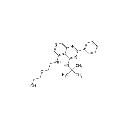 CC(C)(C)Nc1nc(-c2ccncc2)nc2cncc(NCCOCCO)c12